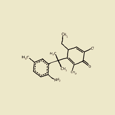 CCC1C=C(Cl)C(=O)C(C)=C1C(C)(C)c1cc(C)ccc1N